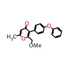 COCc1oc(C)cc(=O)c1-c1ccc(Oc2ccccc2)cc1